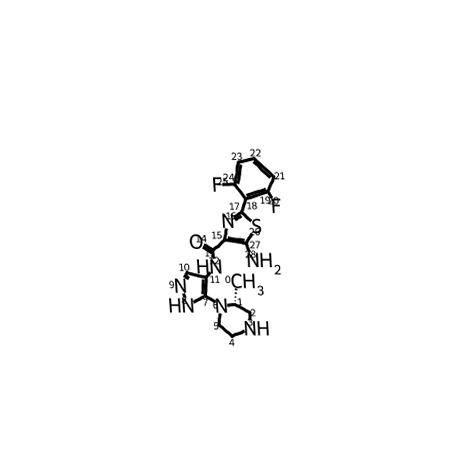 C[C@@H]1CNCCN1c1[nH]ncc1NC(=O)c1nc(-c2c(F)cccc2F)sc1N